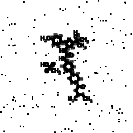 CCC(C)CC(=O)N1CCN(c2ccc(NC(=O)Nc3cc(C(C)(C)C)nn3-c3ccc(C)cc3)cn2)CC1.CS(=O)(=O)O